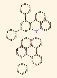 c1ccc(-c2ccccc2-c2ccccc2-c2ccc(N(c3ccccc3)c3c(-c4ccccc4)c(-c4ccccc4)cc(-c4ccccc4)c3-c3ccccc3)cc2)cc1